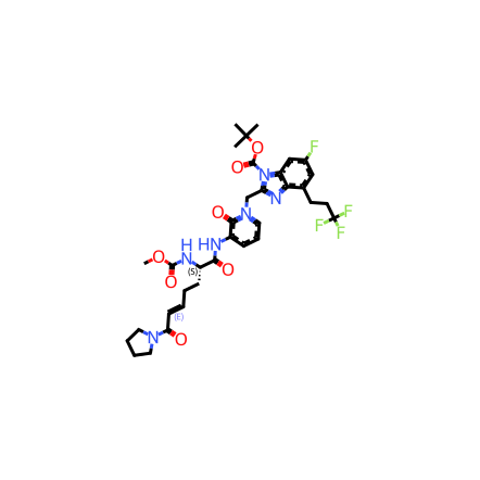 COC(=O)N[C@@H](CC/C=C/C(=O)N1CCCC1)C(=O)Nc1cccn(Cc2nc3c(CCC(F)(F)F)cc(F)cc3n2C(=O)OC(C)(C)C)c1=O